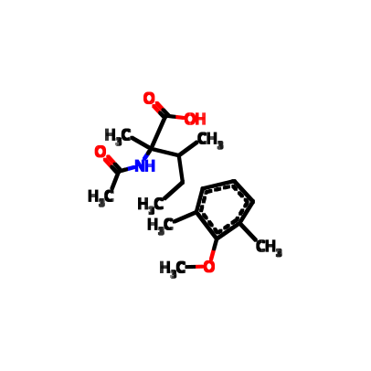 CCC(C)C(C)(NC(C)=O)C(=O)O.COc1c(C)cccc1C